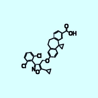 O=C(O)c1ccc2c(c1)C1(CC1)c1ccc(OCc3c(-c4c(Cl)cccc4Cl)noc3C3CC3)cc1CC2